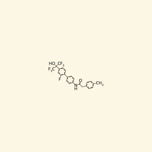 Cc1ccc(CC(=O)Nc2ccc(-c3ccc(C(O)(C(F)(F)F)C(F)(F)F)cc3F)cc2)cc1